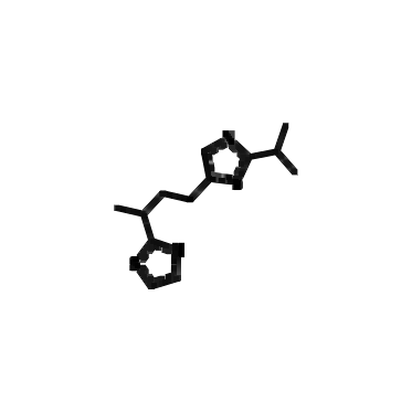 CC(C)c1ncc(CCC(C)c2nccs2)s1